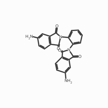 Nc1ccc2c(c1)C(=O)N(c1ccccc1N1C(=O)c3ccc(N)cc3C1=O)C2=O